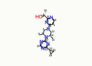 CC1CN(c2ccnc([C@@H](C)O)n2)C[C@@H](C)N1c1ncnc(C2CC2)n1